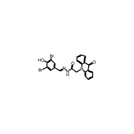 O=C(Cn1c2ccccc2c(=O)c2ccccc21)NN=Cc1cc(Br)c(O)c(Br)c1